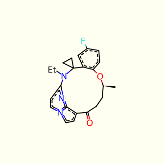 CCN1c2ccn3ccc(c3n2)C(=O)CC[C@H](C)Oc2ccc(F)cc2C12CC2